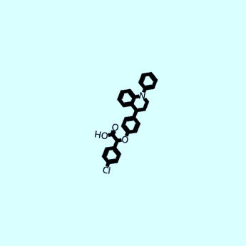 O=C(O)C(Oc1ccc(C2CCN(c3ccccc3)c3ccccc32)cc1)c1ccc(Cl)cc1